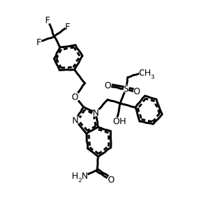 CCS(=O)(=O)C(O)(Cn1c(OCc2ccc(C(F)(F)F)cc2)nc2cc(C(N)=O)ccc21)c1ccccc1